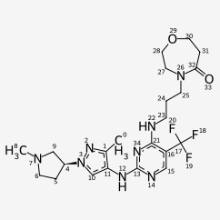 Cc1nn([C@H]2CCN(C)C2)cc1Nc1ncc(C(F)(F)F)c(NCCCN2CCOCCC2=O)n1